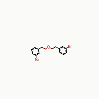 Brc1cccc(CCOCCc2cccc(Br)c2)c1